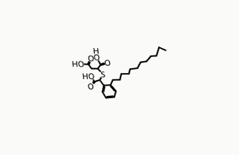 CCCCCCCCCCCCc1ccccc1C(SC(CC(=O)O)C(=O)O)C(=O)O